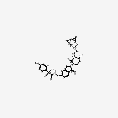 O=C1CCC(N2Cc3cc(CNC(=O)C(F)(F)c4ccc(Cl)cc4)ccc3C2=O)C(=O)N1COP(OC1CC1)OC1CC1